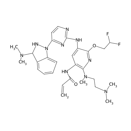 C=CC(=O)Nc1cc(Nc2nccc(N3NC(N(C)C)c4ccccc43)n2)c(OCC(F)F)nc1N(C)CCN(C)C